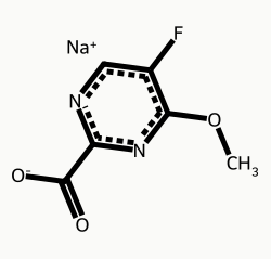 COc1nc(C(=O)[O-])ncc1F.[Na+]